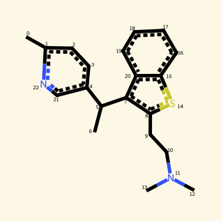 Cc1ccc(C(C)c2c(CCN(C)C)sc3ccccc23)cn1